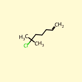 C=CCCCC(C)(C)Cl